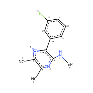 CCCNc1nc(C#N)c(C#N)nc1-c1cccc(F)c1